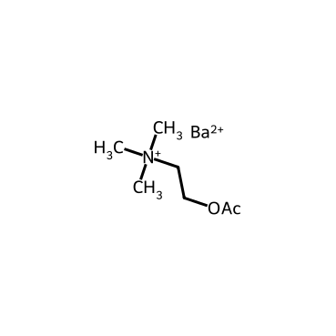 CC(=O)OCC[N+](C)(C)C.[Ba+2]